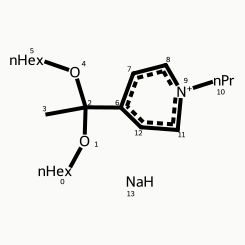 CCCCCCOC(C)(OCCCCCC)c1cc[n+](CCC)cc1.[NaH]